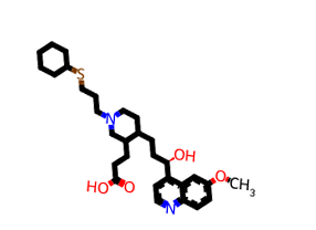 COc1ccc2nccc([C@@H](O)CCC3CCN(CCCSC4CCCCC4)CC3CCC(=O)O)c2c1